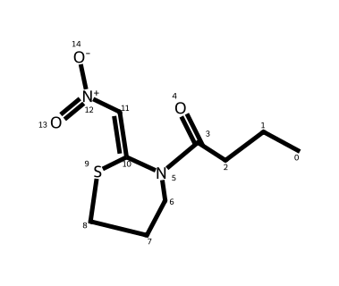 CCCC(=O)N1CCCSC1=C[N+](=O)[O-]